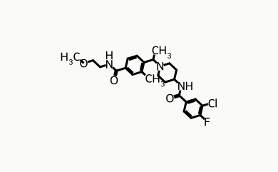 COCCNC(=O)c1ccc(C(C)N2CCC(NC(=O)c3ccc(F)c(Cl)c3)CC2)c(C)c1